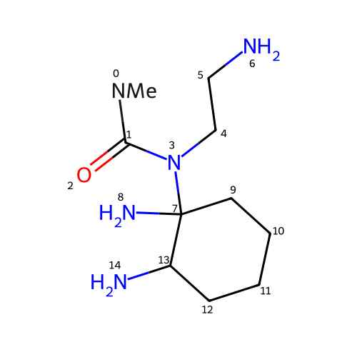 CNC(=O)N(CCN)C1(N)CCCCC1N